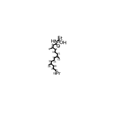 CCC(O)NC(=O)CC(C)CCCC(C)CCCC(C)CCCC(C)C